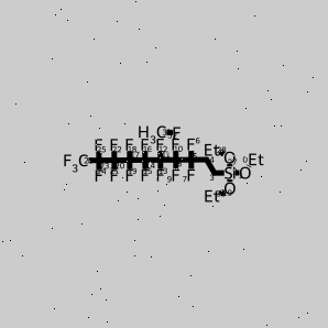 CCO[Si](CCC(F)(F)C(F)(F)C(F)(F)C(F)(F)C(F)(F)C(F)(F)C(F)(F)C(F)(F)F)(OCC)OCC.CF